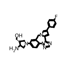 NC1CN(c2ccc3c(c2)Cn2cc(-c4ccc(F)cc4)cc2-c2ncnn2-3)C[C@H]1CO